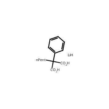 CCCCCC(C(=O)O)(C(=O)O)c1ccccc1.[LiH]